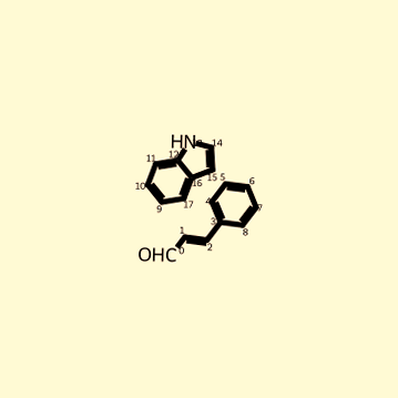 O=CC=Cc1ccccc1.c1ccc2[nH]ccc2c1